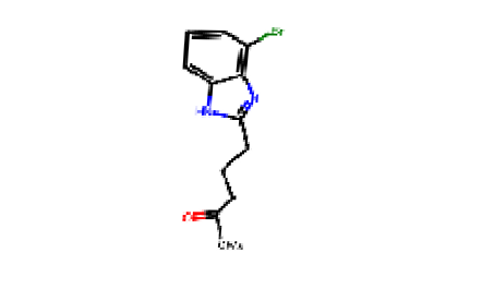 COC(=O)CCCc1nc2c(Br)cccc2[nH]1